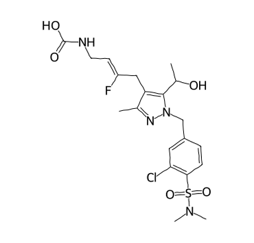 Cc1nn(Cc2ccc(S(=O)(=O)N(C)C)c(Cl)c2)c(C(C)O)c1C/C(F)=C/CNC(=O)O